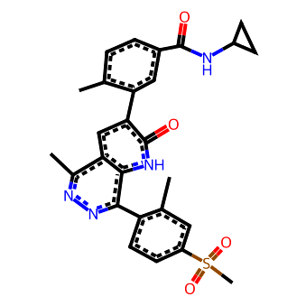 Cc1ccc(C(=O)NC2CC2)cc1-c1cc2c(C)nnc(-c3ccc(S(C)(=O)=O)cc3C)c2[nH]c1=O